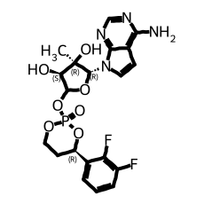 C[C@@]1(O)[C@H](O)C(OP2(=O)OCC[C@H](c3cccc(F)c3F)O2)O[C@H]1n1ccc2c(N)ncnc21